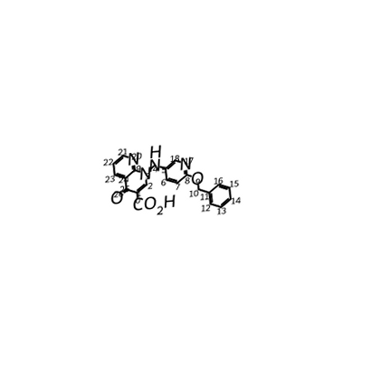 O=C(O)c1cn(Nc2ccc(OCc3ccccc3)nc2)c2ncccc2c1=O